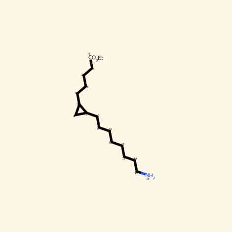 CCOC(=O)CCCCC1CC1CCCCCCCCN